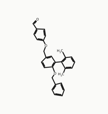 Cc1cccc(C)c1-c1cc(COc2ccc(C=O)cc2)ccc1OCc1ccccc1